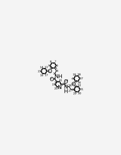 O=C(NCCc1ccccc1Oc1ccccc1)c1ccnc(C(=O)NCCc2ccccc2Oc2ccccc2)c1